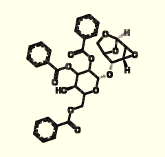 O=C(OCC1O[C@@H](O[C@@H]2C3CO[C@H](O3)C3O[C@@H]32)C(OC(=O)c2ccccc2)C(OC(=O)c2ccccc2)[C@@H]1O)c1ccccc1